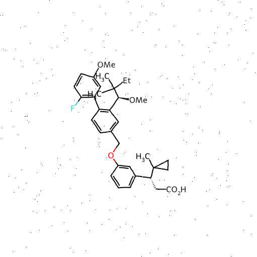 CCC(C)(C)[C@@H](OC)c1cc(COc2cccc([C@@H](CC(=O)O)C3(C)CC3)c2)ccc1-c1cc(OC)ccc1F